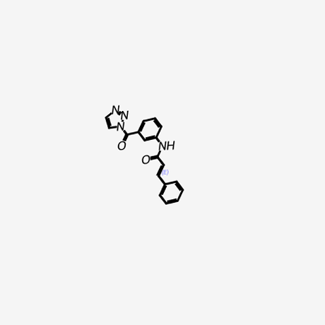 O=C(/C=C/c1ccccc1)Nc1cccc(C(=O)n2ccnn2)c1